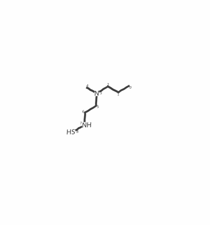 CCCN(C)CCNS